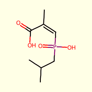 CC(=CP(=O)(O)CC(C)C)C(=O)O